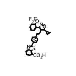 O=C(O)c1cccc2nc(C34CCC(C=Cc5c(-c6ccccc6OC(F)(F)F)noc5C5CC5)(CC3)CC4)sc12